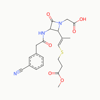 COC(=O)CCSC=C(C)C1C(NC(=O)Cc2cccc(C#N)c2)C(=O)N1CC(=O)O